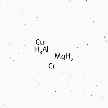 [AlH3].[Cr].[Cu].[MgH2]